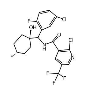 O=C(NC(c1cc(Cl)ccc1F)[C@]1(O)CC[C@H](F)CC1)c1cc(C(F)(F)F)cnc1Cl